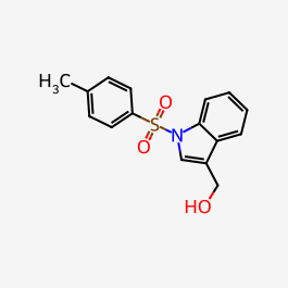 Cc1ccc(S(=O)(=O)n2cc(CO)c3ccccc32)cc1